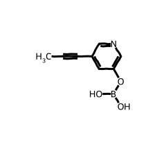 CC#Cc1cncc(OB(O)O)c1